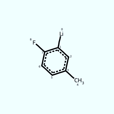 [Li][c]1cc(C)ccc1F